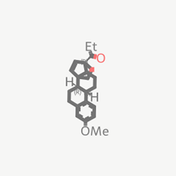 CCC(=O)[C@@]12C=CC3(CC1)[C@@H]1CCc4cc(OC)ccc4[C@H]1CC[C@@]32C